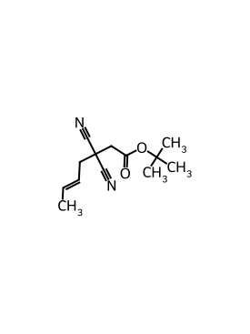 CC=CCC(C#N)(C#N)CC(=O)OC(C)(C)C